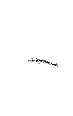 O=CNCCCOCCOCCOCCCNC(=O)COCC(=O)O